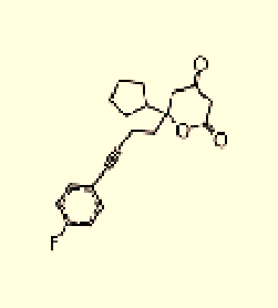 O=C1CC(=O)OC(CCC#Cc2ccc(F)cc2)(C2CCCC2)C1